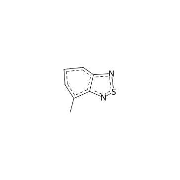 Cc1cccc2nsnc12